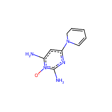 Nc1cc(N2C=CC=CC2)nc(N)[n+]1[O-]